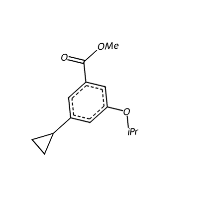 COC(=O)c1cc(OC(C)C)cc(C2CC2)c1